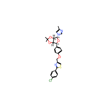 Cc1cn([C@@H]2O[C@@H](c3ccc(OCc4csc(-c5ccc(Cl)cc5)n4)cc3)[C@@H]3OC(C)(C)O[C@@H]32)cn1